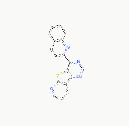 c1ccc2nc(-c3ncnc4c3sc3ncccc34)ccc2c1